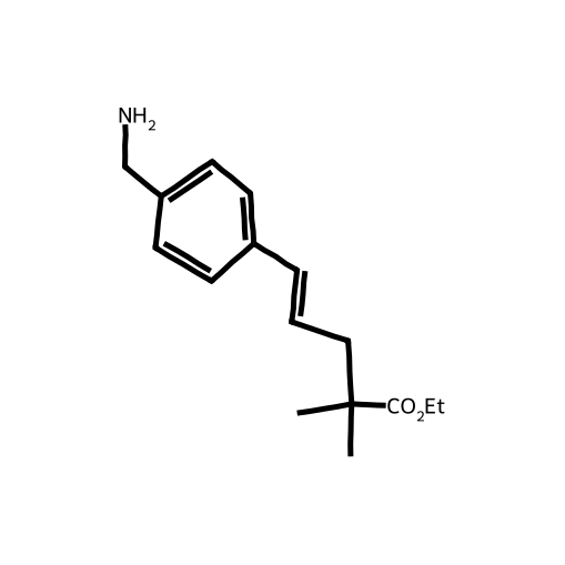 CCOC(=O)C(C)(C)CC=Cc1ccc(CN)cc1